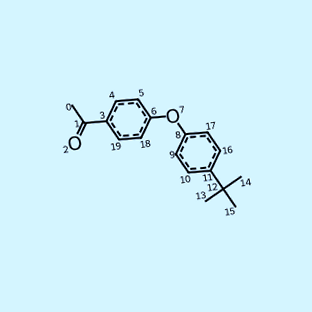 CC(=O)c1ccc(Oc2ccc(C(C)(C)C)cc2)cc1